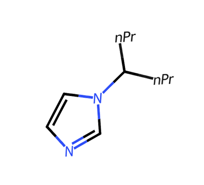 CCCC(CCC)n1ccnc1